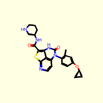 Cc1cc(OC2CC2)ccc1N1C(=O)Nc2c(C(=O)NC3CCCNC3)sc3nccc1c23